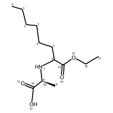 CCCCCCC(N[C@@H](C)C(=O)O)C(=O)OCC